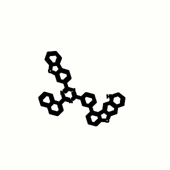 C1=Cc2cc3oc4cccc(-c5cccc(-c6nc(-c7ccc8c(c7)oc7ccccc78)nc(-c7cccc8ccccc78)n6)c5)c4c3cc2NC1